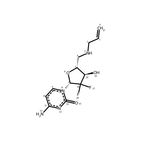 C=CCNC[C@H]1O[C@@H](n2ccc(N)nc2=O)C(F)(F)[C@@H]1O